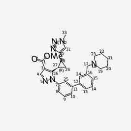 COC(=O)c1cnn(-c2cccc(-c3cccc(CN4CCCCC4)c3)c2)c1[C@@H]1C[C@H]1c1cn(C)nn1